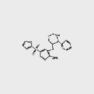 COc1ccc(S(=O)(=O)c2cccs2)cc1C[C]1CCCN[C@@H]1c1ccccc1